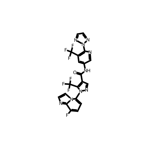 O=C(Nc1cnc(-n2nccn2)c(C(F)(F)F)c1)c1cnn(-c2ccc(F)c3nccn23)c1C(F)(F)F